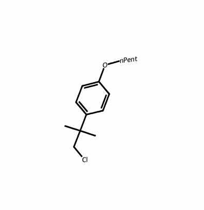 CCCCCOc1ccc(C(C)(C)CCl)cc1